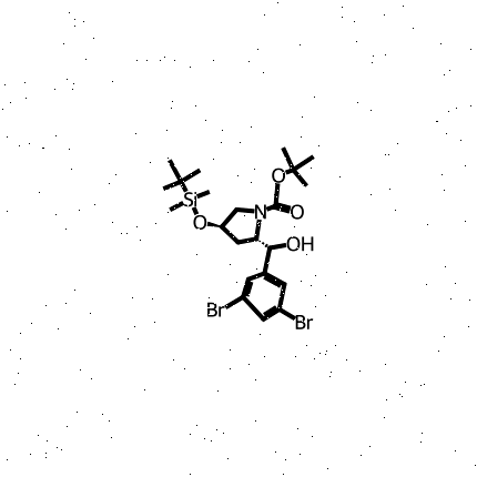 CC(C)(C)OC(=O)N1C[C@H](O[Si](C)(C)C(C)(C)C)C[C@H]1C(O)c1cc(Br)cc(Br)c1